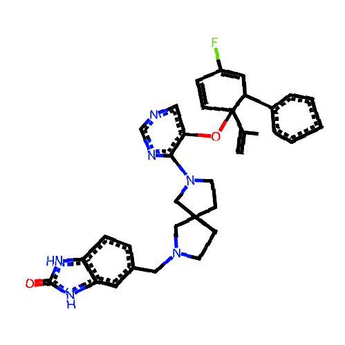 C=C(C)C1(Oc2cncnc2N2CCC3(CCN(Cc4ccc5[nH]c(=O)[nH]c5c4)C3)C2)C=CC(F)=CC1c1ccccc1